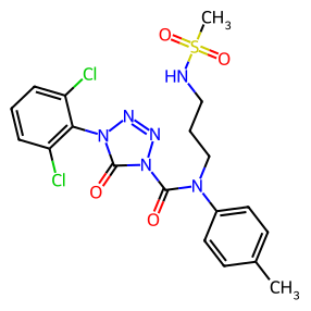 Cc1ccc(N(CCCNS(C)(=O)=O)C(=O)n2nnn(-c3c(Cl)cccc3Cl)c2=O)cc1